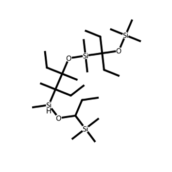 CCC(O[SiH](C)C(C)(CC)C(C)(CC)O[Si](C)(C)C(CC)(CC)O[Si](C)(C)C)[Si](C)(C)C